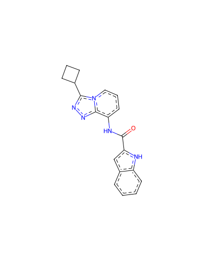 O=C(Nc1cccn2c(C3CCC3)nnc12)c1cc2ccccc2[nH]1